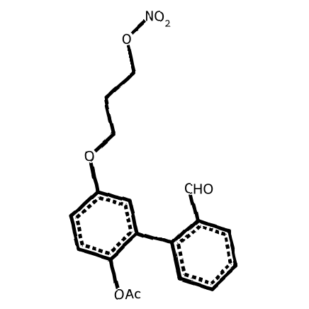 CC(=O)Oc1ccc(OCCCO[N+](=O)[O-])cc1-c1ccccc1C=O